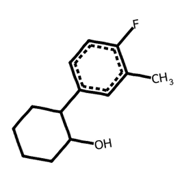 Cc1cc(C2CCCCC2O)ccc1F